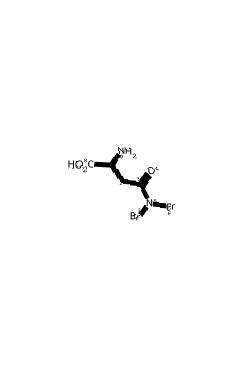 NC(CC(=O)N(Br)Br)C(=O)O